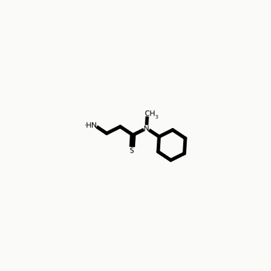 CN(C(=S)CC[NH])C1CCCCC1